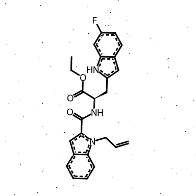 C=CCn1c(C(=O)N[C@H](Cc2cc3ccc(F)cc3[nH]2)C(=O)OCC)cc2ccccc21